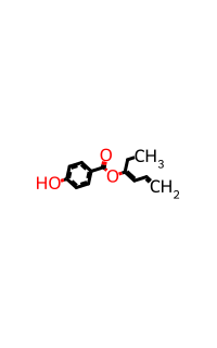 C=C/C=C(\CC)OC(=O)c1ccc(O)cc1